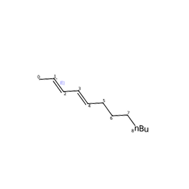 C/[C]=C/C=CCCCCCCC